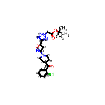 CC(C)(C)OC(=O)Cn1nnc(C2CC(N3CCC(C(=O)c4ccccc4Cl)CC3)=NO2)n1